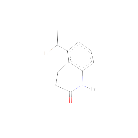 CC(S)c1cccc2c1CCC(=O)N2C(C)C